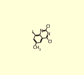 Cc1cc(I)c2nc(Cl)nc(Cl)c2c1